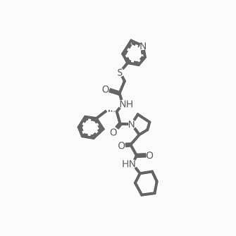 O=C(CSc1ccncc1)N[C@@H](Cc1ccccc1)C(=O)N1CCCC1C(=O)C(=O)NC1CCCCC1